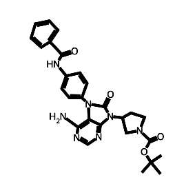 CC(C)(C)OC(=O)N1CCC(n2c(=O)n(-c3ccc(NC(=O)c4ccccc4)cc3)c3c(N)ncnc32)C1